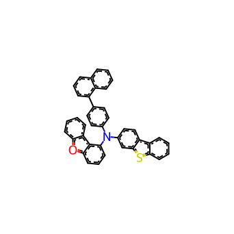 c1ccc2c(-c3ccc(N(c4ccc5c(c4)sc4ccccc45)c4cccc5oc6ccccc6c45)cc3)cccc2c1